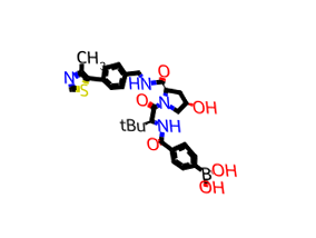 Cc1ncsc1-c1ccc(CNC(=O)[C@@H]2C[C@@H](O)CN2C(=O)[C@@H](NC(=O)c2ccc(B(O)O)cc2)C(C)(C)C)cc1